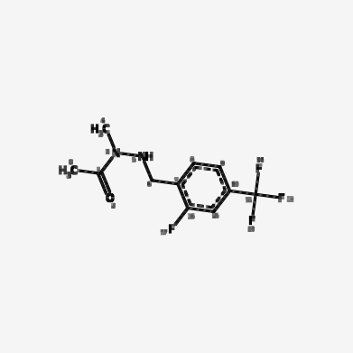 CC(=O)N(C)NCc1ccc(C(F)(F)F)cc1F